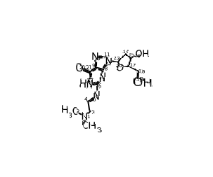 CN(C)CC=Nc1nc2c(ncn2[C@H]2CC(O)[C@@H](CO)O2)c(=O)[nH]1